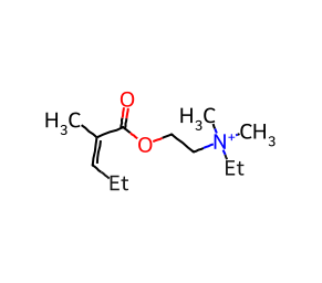 CCC=C(C)C(=O)OCC[N+](C)(C)CC